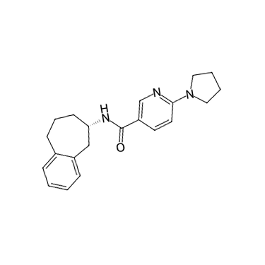 O=C(N[C@H]1CCCc2ccccc2C1)c1ccc(N2CCCC2)nc1